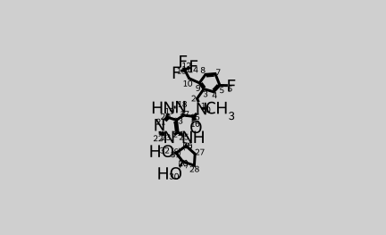 CN(Cc1cc(F)ccc1CC(F)(F)F)C(=O)c1n[nH]c2ncnc(N[C@@H]3CC[C@@H](O)[C@H]3O)c12